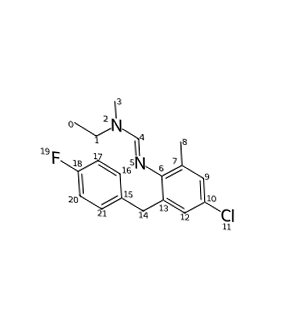 CCN(C)C=Nc1c(C)cc(Cl)cc1Cc1ccc(F)cc1